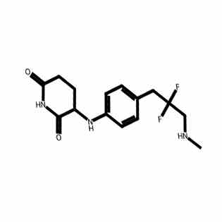 CNCC(F)(F)Cc1ccc(NC2CCC(=O)NC2=O)cc1